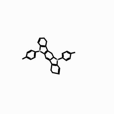 Cc1ccc(N2C3=C(CCC=C3)C3=Cc4c(c5c(n4-c4ccc(C)cc4)C=CCC5)CC32)cc1